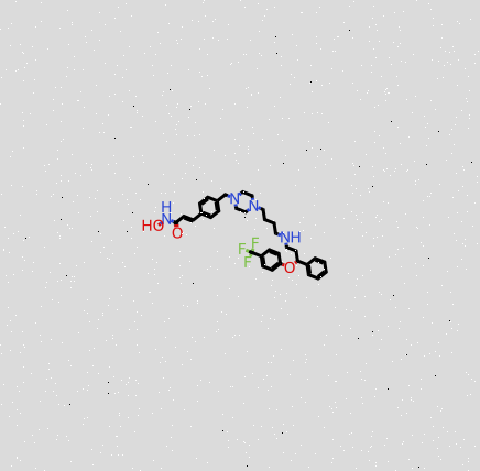 O=C(/C=C/c1ccc(CN2CCN(CCCCNCCC(Oc3ccc(C(F)(F)F)cc3)c3ccccc3)CC2)cc1)NO